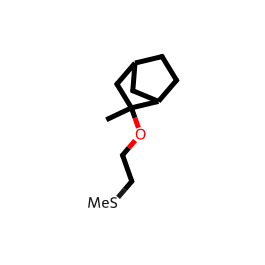 CSCCOC1(C)CC2CCC1C2